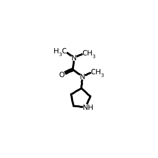 CN(C)C(=O)N(C)C1CCNC1